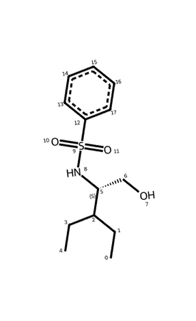 CCC(CC)[C@@H](CO)NS(=O)(=O)c1ccccc1